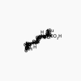 Cn1c(=O)n(C2CCC(=O)NC2=O)c2ccc(CCC(=O)Nc3cccc(CS(=O)(=O)N4CCC(Nc5cccc(-c6sc(C(=O)OC(C)(C)C)c(OCC(=O)O)c6Cl)c5)CC4)c3)cc21